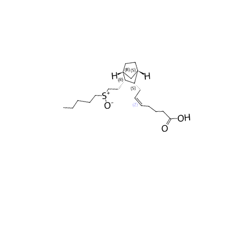 CCCCC[S+]([O-])CC[C@@H]1[C@@H]2CC[C@@H](C2)[C@@H]1C/C=C\CCCC(=O)O